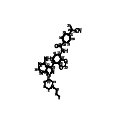 CC=CN1CCC[C@@H](n2nc(-c3ccc(NC(=O)c4ccc([C@@H](C)C#N)cc4)c4c3OCO4)c3c(N)ncnc32)C1